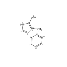 CCCCc1[nH]cc[n+]1C.c1ccncc1